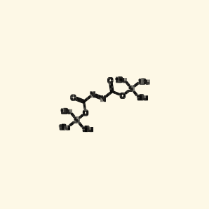 CC(C)(C)[Si](OC(=O)N=NC(=O)O[Si](C(C)(C)C)(C(C)(C)C)C(C)(C)C)(C(C)(C)C)C(C)(C)C